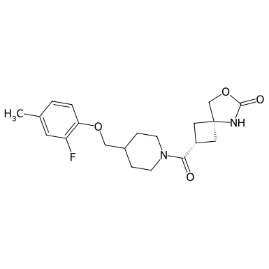 Cc1ccc(OCC2CCN(C(=O)[C@H]3C[C@@]4(COC(=O)N4)C3)CC2)c(F)c1